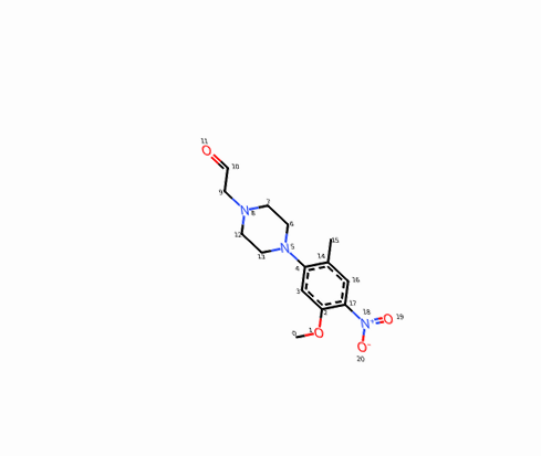 COc1cc(N2CCN(CC=O)CC2)c(C)cc1[N+](=O)[O-]